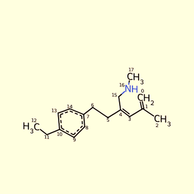 C=C(C)/C=C(/CCc1ccc(CC)cc1)CNC